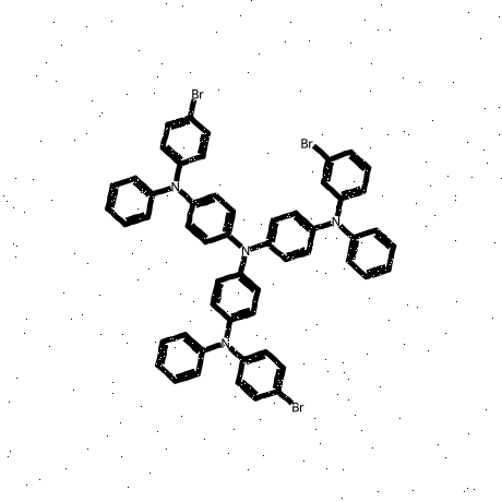 Brc1ccc(N(c2ccccc2)c2ccc(N(c3ccc(N(c4ccccc4)c4ccc(Br)cc4)cc3)c3ccc(N(c4ccccc4)c4cccc(Br)c4)cc3)cc2)cc1